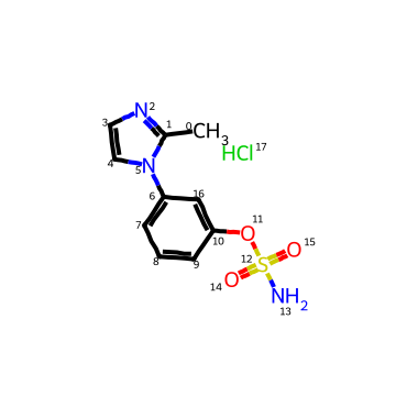 Cc1nccn1-c1cccc(OS(N)(=O)=O)c1.Cl